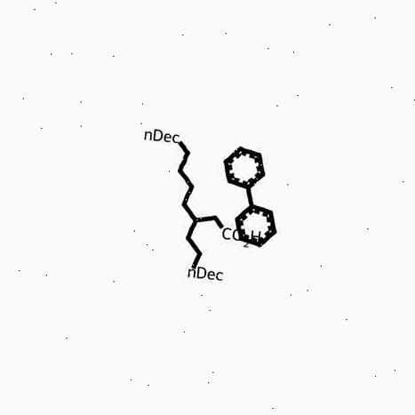 CCCCCCCCCCCCCCC(CCCCCCCCCCCC)CC(=O)O.c1ccc(-c2ccccc2)cc1